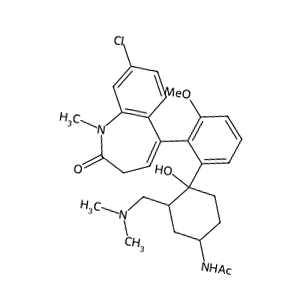 COc1cccc(C2(O)CCC(NC(C)=O)CC2CN(C)C)c1C1=CCC(=O)N(C)c2cc(Cl)ccc21